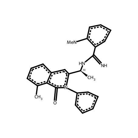 CNc1ccccc1C(=N)N[C@@H](C)c1cc2cccc(C)c2c(=O)n1-c1ccccc1